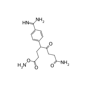 N=C(N)c1ccc(C(CCC(=O)ON)C(=O)CCC(N)=O)cc1